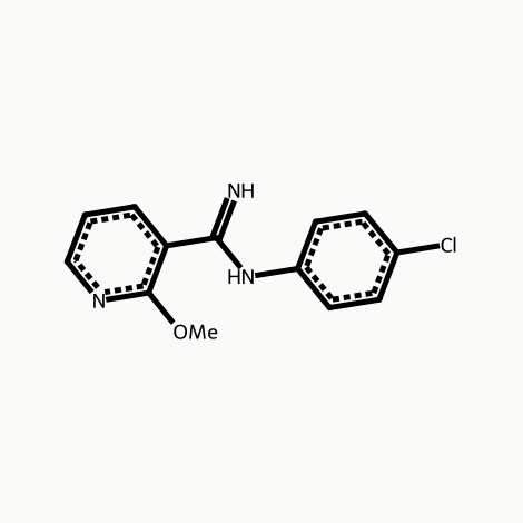 COc1ncccc1C(=N)Nc1ccc(Cl)cc1